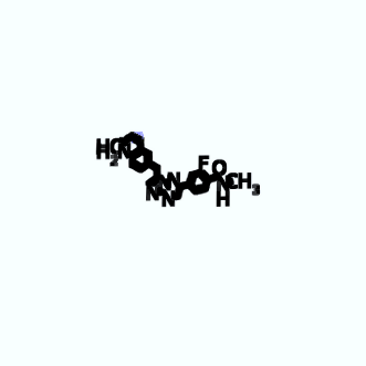 C#C/C=C\c1cc(Cc2cnc3ncc(-c4ccc(C(=O)NC)c(F)c4)nn23)ccc1N